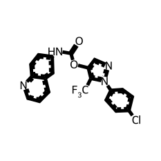 O=C(Nc1ccc2ncccc2c1)Oc1cnn(-c2ccc(Cl)cc2)c1C(F)(F)F